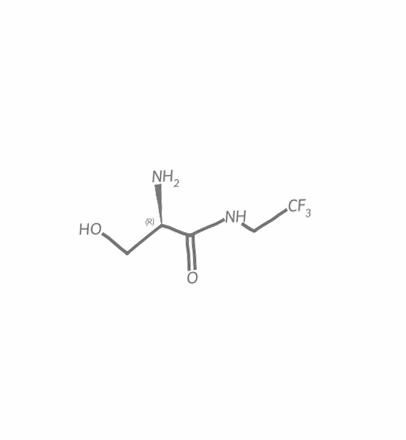 N[C@H](CO)C(=O)NCC(F)(F)F